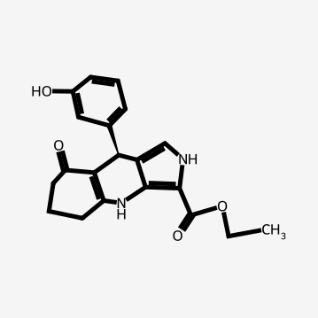 CCOC(=O)c1[nH]cc2c1NC1=C(C(=O)CCC1)[C@H]2c1cccc(O)c1